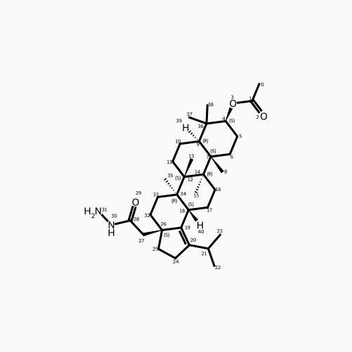 CC(=O)O[C@H]1CC[C@@]2(C)[C@@H](CC[C@]3(C)[C@]2(C)CC[C@@H]2C4=C(C(C)C)CC[C@]4(CC(=O)NN)CC[C@]23C)C1(C)C